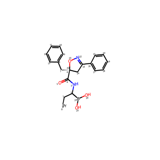 CC(C)CC(NC(=O)[C@]1(Cc2ccccc2)CC(c2ccccc2)=NO1)B(O)O